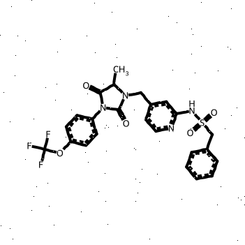 CC1C(=O)N(c2ccc(OC(F)(F)F)cc2)C(=O)N1Cc1ccnc(NS(=O)(=O)Cc2ccccc2)c1